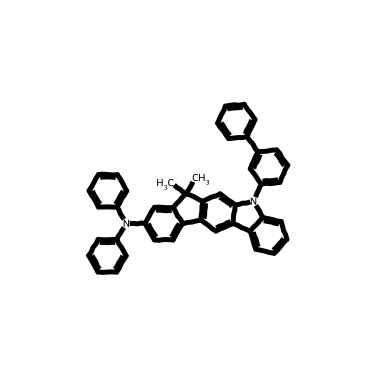 CC1(C)c2cc(N(c3ccccc3)c3ccccc3)ccc2-c2cc3c4ccccc4n(-c4cccc(-c5ccccc5)c4)c3cc21